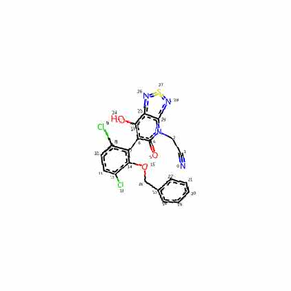 N#CCn1c(=O)c(-c2c(Cl)ccc(Cl)c2OCc2ccccc2)c(O)c2nsnc21